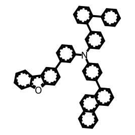 c1ccc(-c2ccccc2-c2cccc(N(c3ccc(-c4cccc5c4ccc4ccccc45)cc3)c3cccc(-c4ccc5oc6ccccc6c5c4)c3)c2)cc1